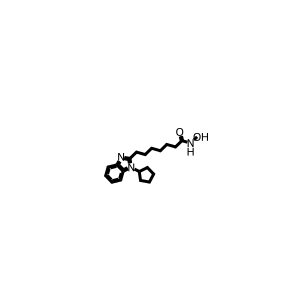 O=C(CCCCCCc1nc2ccccc2n1C1CCCC1)NO